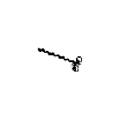 CCCC/C=C/CCCCCCCC/C=C(\OOC)C(C)=O